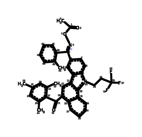 CC(=O)O/N=C(/c1ccc2c(c1)c1cc(C(=O)c3c(C)cc(C)cc3C)c3ccccc3c1n2CCC(F)(F)F)c1ccccc1C